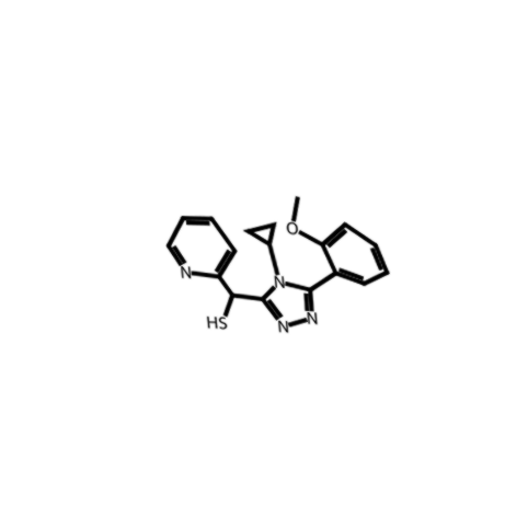 COc1ccccc1-c1nnc(C(S)c2ccccn2)n1C1CC1